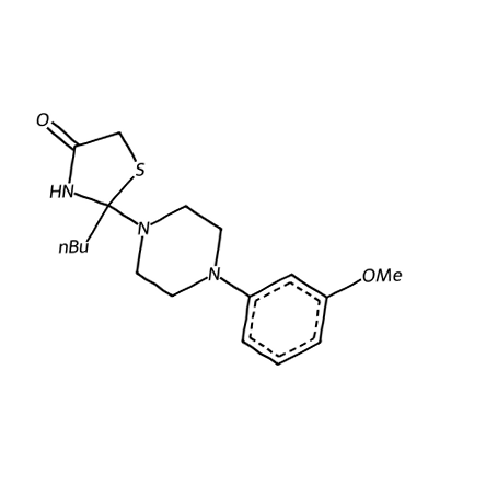 CCCCC1(N2CCN(c3cccc(OC)c3)CC2)NC(=O)CS1